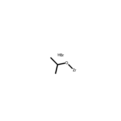 Br.CC(C)[O][Zr]